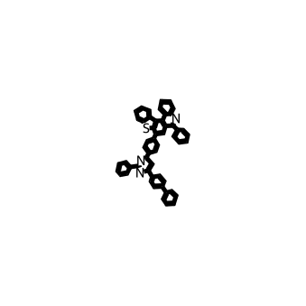 c1ccc(-c2ccc(-c3cc(-c4ccc(-c5cc6c(-c7ccccc7)nc7ccccc7c6c6c5sc5ccccc56)cc4)nc(-c4ccccc4)n3)cc2)cc1